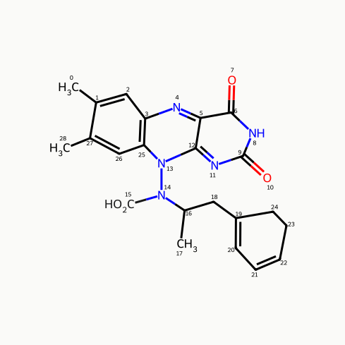 Cc1cc2nc3c(=O)[nH]c(=O)nc-3n(N(C(=O)O)C(C)CC3=CC=CCC3)c2cc1C